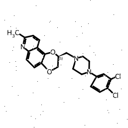 Cc1ccc2c3c(ccc2n1)OC[C@H](CN1CCN(c2ccc(Cl)c(Cl)c2)CC1)O3